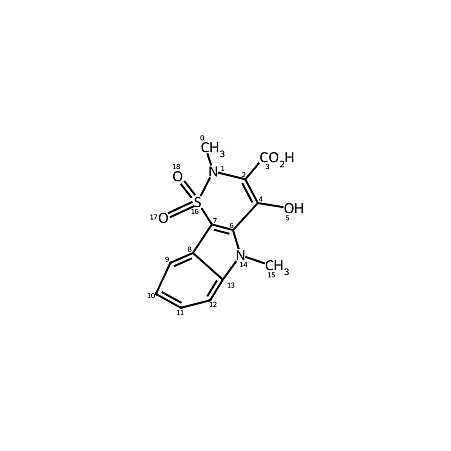 CN1C(C(=O)O)=C(O)c2c(c3ccccc3n2C)S1(=O)=O